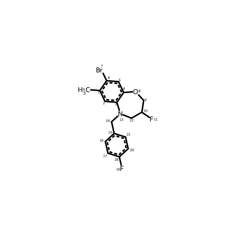 Cc1cc2c(cc1Br)OCC(F)CN2Cc1ccc(F)cc1